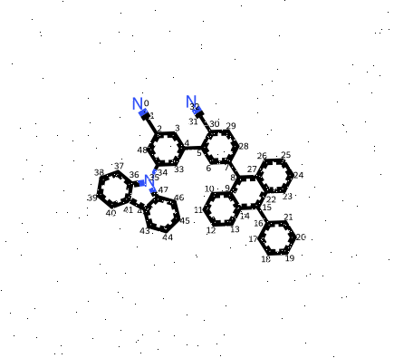 N#Cc1cc(-c2cc(-c3c4ccccc4c(-c4ccccc4)c4ccccc34)ccc2C#N)cc(-n2c3ccccc3c3ccccc32)c1